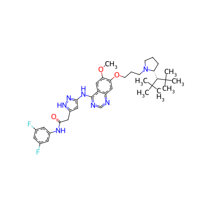 COc1cc2c(Nc3cc(CC(=O)Nc4cc(F)cc(F)c4)[nH]n3)ncnc2cc1OCCCN1CCC[C@@H]1C(C(C)(C)C)C(C)(C)C